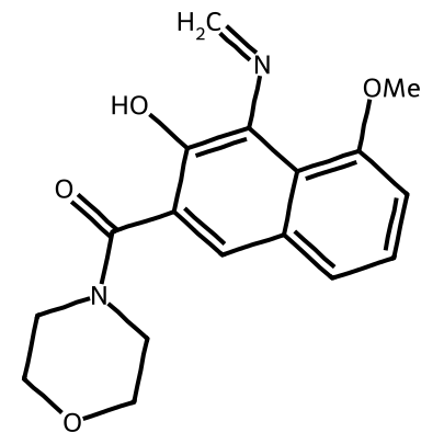 C=Nc1c(O)c(C(=O)N2CCOCC2)cc2cccc(OC)c12